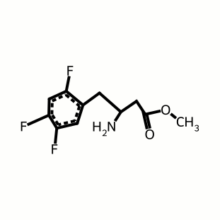 COC(=O)CC(N)Cc1cc(F)c(F)cc1F